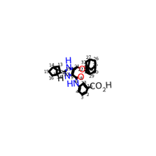 O=C(O)c1cccc(NC(=O)c2nc([C@H]3CC4CC[C@H]3C4)[nH]c2COC23CC4CC(CC(C4)C2)C3)c1